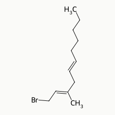 CCCCCC=CCC(C)=CCBr